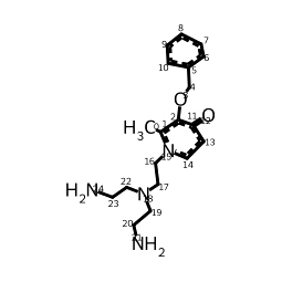 Cc1c(OCc2ccccc2)c(=O)ccn1CCN(CCN)CCN